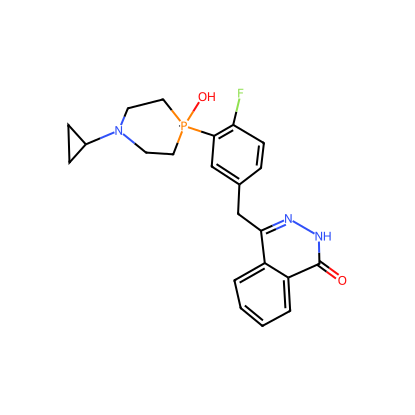 O=c1[nH]nc(Cc2ccc(F)c([P]3(O)CCN(C4CC4)CC3)c2)c2ccccc12